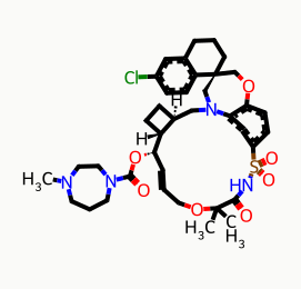 CN1CCCN(C(=O)O[C@H]2/C=C/COC(C)(C)C(=O)NS(=O)(=O)c3ccc4c(c3)N(C[C@@H]3CC[C@H]32)C[C@@]2(CCCc3cc(Cl)ccc32)CO4)CC1